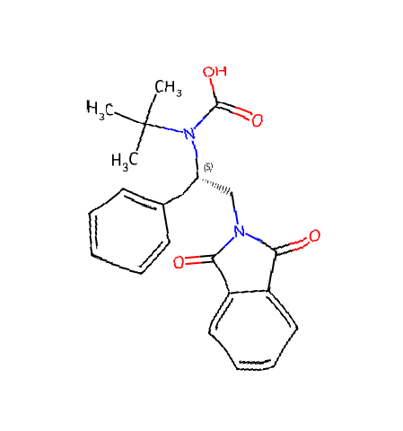 CC(C)(C)N(C(=O)O)[C@H](CN1C(=O)c2ccccc2C1=O)c1ccccc1